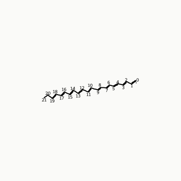 [CH]=CC=CC=CC=CC=CC=CC=CC=CC=CC=CCC